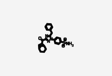 NS(=O)(=O)c1ccc(-n2nc(C(=O)C3CC4CCCC3C4)nc2Cc2ccccc2)cc1